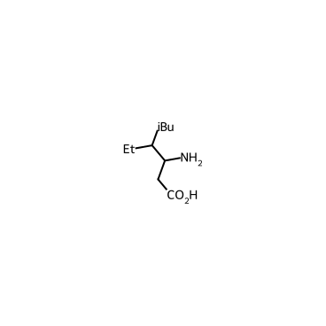 CCC(C)C(CC)C(N)CC(=O)O